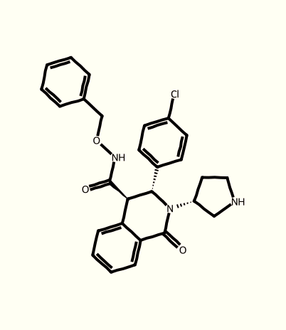 O=C(NOCc1ccccc1)[C@@H]1c2ccccc2C(=O)N([C@@H]2CCNC2)[C@H]1c1ccc(Cl)cc1